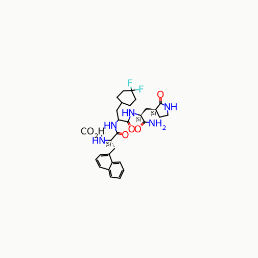 NC(=O)[C@H](C[C@@H]1CCNC1=O)NC(=O)C(CC1CCC(F)(F)CC1)NC(=O)[C@H](Cc1cccc2ccccc12)NC(=O)O